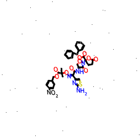 CC(C)(O/N=C(\C(=O)N[C@H]1CON(C2(C(=O)OC(c3ccccc3)c3ccccc3)CCC(=O)O2)C1=O)c1csc(N)n1)C(=O)OCc1ccc([N+](=O)[O-])cc1